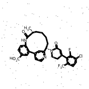 C[C@@H]1CCCC[C@H](N2CCC(c3c(C(F)(F)F)ccc(Cl)c3F)=CC2=O)c2cc(ccn2)-c2cc(C(=O)O)ccc2NC1=O